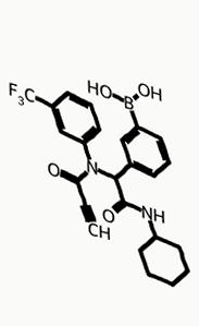 C#CC(=O)N(c1cccc(C(F)(F)F)c1)C(C(=O)NC1CCCCC1)c1cccc(B(O)O)c1